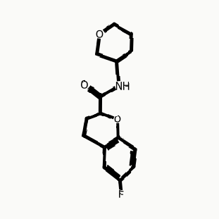 O=C(NC1CCCOC1)C1CCc2cc(F)ccc2O1